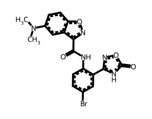 CN(C)c1ccc2onc(C(=O)Nc3ccc(Br)cc3-c3noc(=O)[nH]3)c2c1